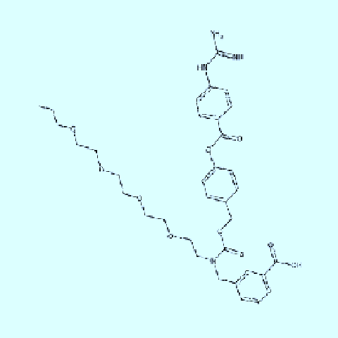 CCCOCCOCCOCCOCCN(Cc1cccc(C(=O)O)c1)C(=O)OCc1ccc(OC(=O)c2ccc(NC(=N)N)cc2)cc1